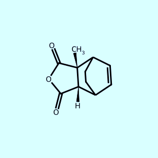 C[C@]12C(=O)OC(=O)[C@H]1C1C=CC2CC1